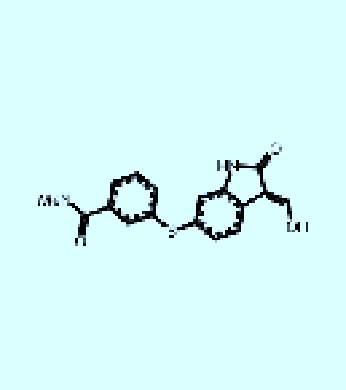 CNC(=O)c1cccc(Sc2ccc3c(c2)NC(=O)C3=CO)c1